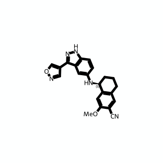 COc1cc2c(cc1C#N)CCC[C@@H]2Nc1ccc2[nH]nc(-c3cnoc3)c2c1